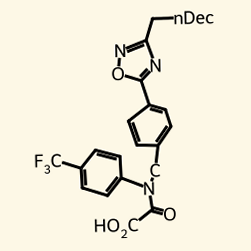 CCCCCCCCCCCc1noc(-c2ccc(CN(C(=O)C(=O)O)c3ccc(C(F)(F)F)cc3)cc2)n1